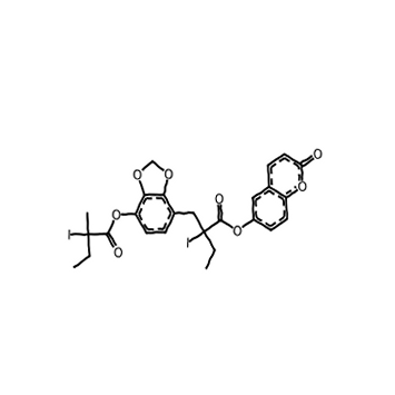 CCC(C)(I)C(=O)Oc1ccc(CC(I)(CC)C(=O)Oc2ccc3oc(=O)ccc3c2)c2c1OCO2